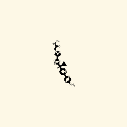 CC(C)(C)NC(=O)Cn1cc(-c2nc([C@@](C)(c3ccc(-c4cnc(N)cn4)nc3)C3CC3)no2)cn1